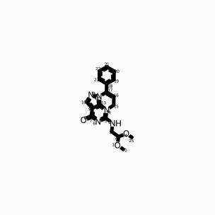 COC(CNc1nc(=O)c2cnn3c2n1CC=C3c1ccccc1)OC